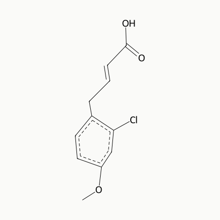 COc1ccc(C/C=C/C(=O)O)c(Cl)c1